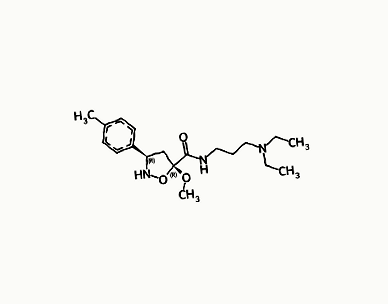 CCN(CC)CCCNC(=O)[C@@]1(OC)C[C@H](c2ccc(C)cc2)NO1